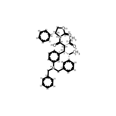 CC[C@H](c1cccc(N(Cc2ccccc2)Cc2ccccc2)c1)[C@@H](C(C)=O)C(=O)N1C(=O)OC[C@H]1c1ccccc1